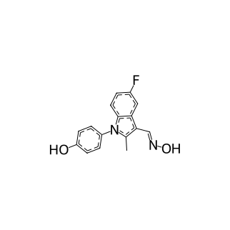 Cc1c(C=NO)c2cc(F)ccc2n1-c1ccc(O)cc1